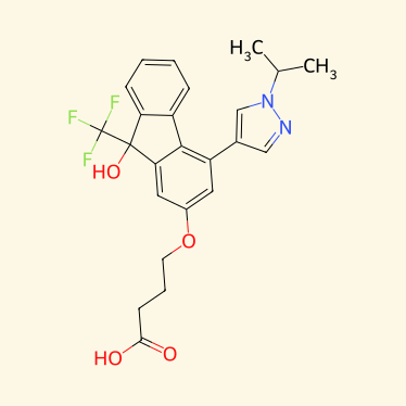 CC(C)n1cc(-c2cc(OCCCC(=O)O)cc3c2-c2ccccc2C3(O)C(F)(F)F)cn1